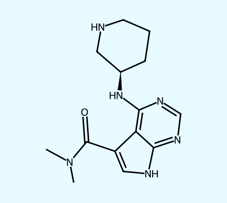 CN(C)C(=O)c1c[nH]c2ncnc(N[C@@H]3CCCNC3)c12